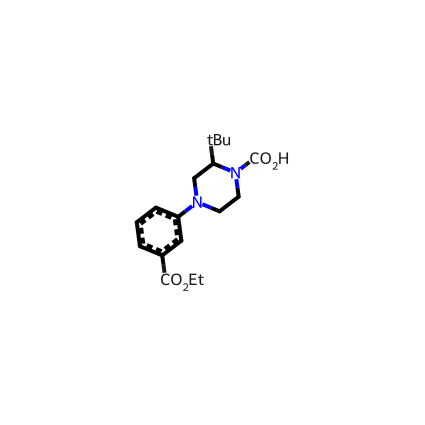 CCOC(=O)c1cccc(N2CCN(C(=O)O)C(C(C)(C)C)C2)c1